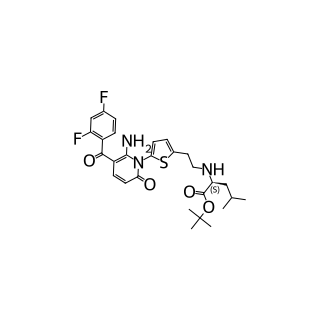 CC(C)C[C@H](NCCc1ccc(-n2c(N)c(C(=O)c3ccc(F)cc3F)ccc2=O)s1)C(=O)OC(C)(C)C